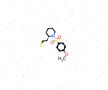 COc1ccc(S(=O)(=O)N2CCCC[C@@H]2CC=S)cc1